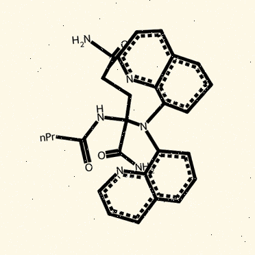 CCCC(=O)NC(CCC(N)=O)(C(N)=O)N(c1cccc2cccnc12)c1cccc2cccnc12